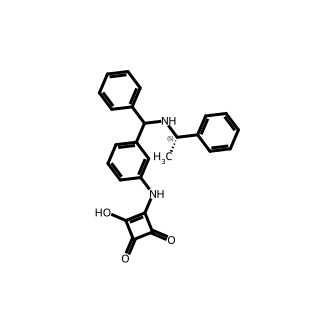 C[C@H](NC(c1ccccc1)c1cccc(Nc2c(O)c(=O)c2=O)c1)c1ccccc1